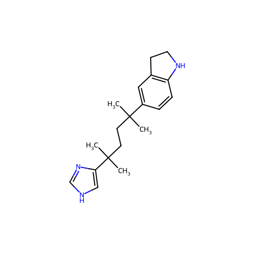 CC(C)(CCC(C)(C)c1c[nH]cn1)c1ccc2c(c1)CCN2